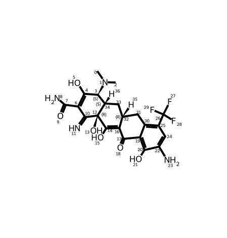 CN(C)[C@@H]1C(O)=C(C(N)=O)C(=N)[C@@]2(O)C(O)=C3C(=O)c4c(O)c(N)cc(C(F)(F)F)c4C[C@H]3C[C@@H]12